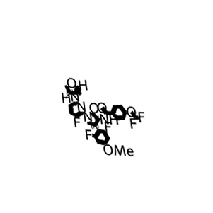 COc1cc(F)c([C@@H]2CN(c3nc(N4C[C@H]5C[C@@H]4CO5)ccc3F)C(=O)[C@H]2NC(=O)c2ccc(OC(F)F)cc2)c(F)c1